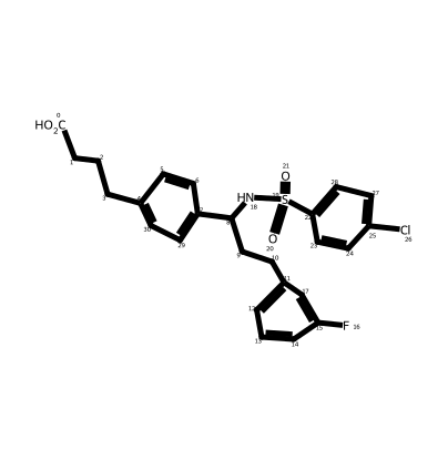 O=C(O)CCCc1ccc(C(CCc2cccc(F)c2)NS(=O)(=O)c2ccc(Cl)cc2)cc1